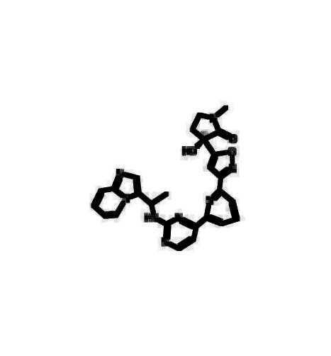 CC(Nc1nccc(-c2cccc(-c3cc([C@]4(O)CCN(C)C4=O)on3)n2)n1)c1cnc2ccccn12